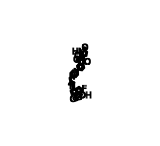 CS(=O)(=O)c1ccc(N2CC(CN3CCN(c4ccc5c(c4)C(=O)N(C4CCC(=O)NC4=O)C5=O)CC3)C2)c2c1[C@H](O)[C@@H](F)C2